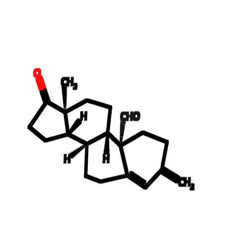 C=C1C=C2CC[C@@H]3[C@H](CC[C@]4(C)C(=O)CC[C@@H]34)[C@@]2(C=O)CC1